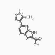 Cc1[nH]ncc1-c1ccc2cc(C(=O)O)[nH]c2n1